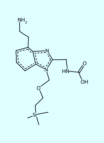 C[Si](C)(C)CCOCn1c(CNC(=O)O)nc2c(CCN)cccc21